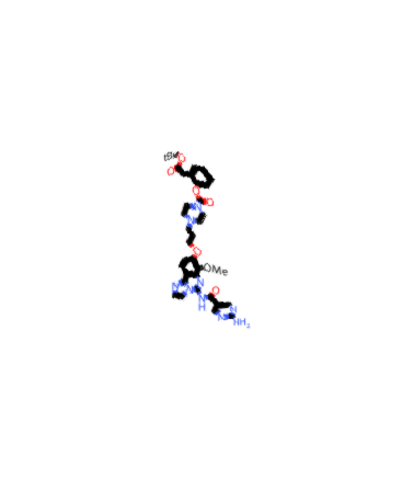 COc1c(OCCCN2CCN(C(=O)Oc3ccccc3CC(=O)OC(C)(C)C)CC2)ccc2c1N=C(NC(=O)c1cnc(N)nc1)N1CCN=C21